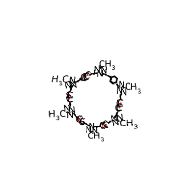 Cc1nc2nc(n1)c1ccc(cc1)c1nc(C)nc(n1)c1ccc(cc1)c1nc(C)nc(n1)c1ccc(cc1)c1nc(C)nc(n1)c1ccc(cc1)c1nc(C)nc(n1)c1ccc(cc1)c1nc(C)nc(n1)c1ccc2cc1